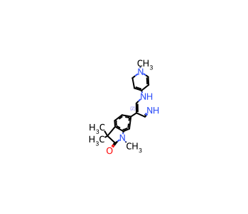 CN1C=CC(N/C=C(\C=N)c2ccc3c(c2)N(C)C(=O)C3(C)C)=CC1